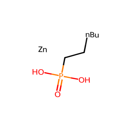 CCCCCCP(=O)(O)O.[Zn]